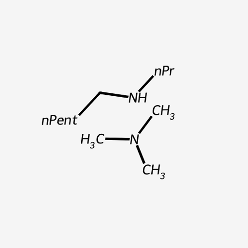 CCCCCCNCCC.CN(C)C